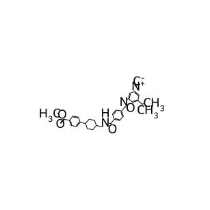 [C-]#[N+]c1cc(C(C)C)c2oc(-c3ccc(C(=O)NCC4CCC(c5ccc(C(=O)OC)cc5)CC4)cc3)nc2c1